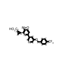 COc1ccc(-c2cncc(OCc3ccc(C(F)(F)F)cc3)c2)nc1[C@H]1C[C@@H]1C(=O)O